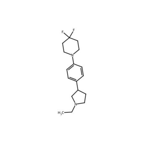 CCN1CCC(c2ccc(N3CCC(F)(F)CC3)cc2)C1